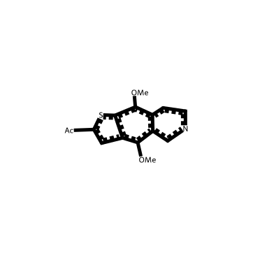 COc1c2cnccc2c(OC)c2sc(C(C)=O)cc12